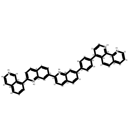 c1cc(-c2ccc3ccc(-c4ccc5ccc(-c6ccc(-c7ccnc8c7ccc7cccnc78)cc6)cc5n4)cc3n2)c2cnccc2c1